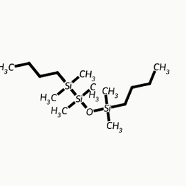 CCCC[Si](C)(C)O[Si](C)(C)[Si](C)(C)CCCC